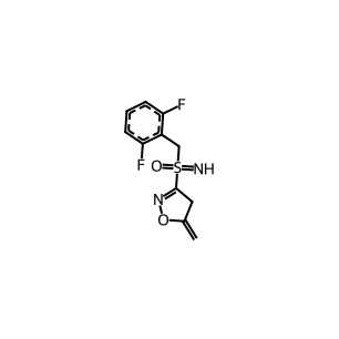 C=C1CC(S(=N)(=O)Cc2c(F)cccc2F)=NO1